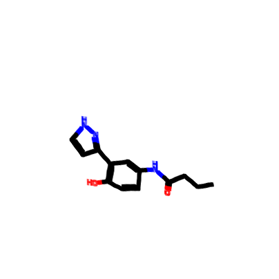 CCCC(=O)Nc1ccc(O)c(-c2cc[nH]n2)c1